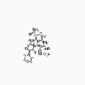 CCC[C@@H](Nc1nc(Nc2cnc(N3CCOCC3)c(F)c2)c(C(N)=O)cc1F)[C@H](C)NC(=O)O